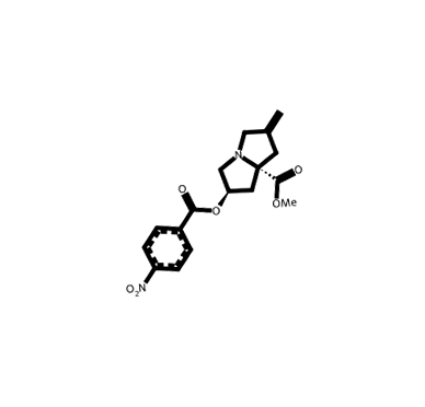 C=C1CN2C[C@H](OC(=O)c3ccc([N+](=O)[O-])cc3)C[C@]2(C(=O)OC)C1